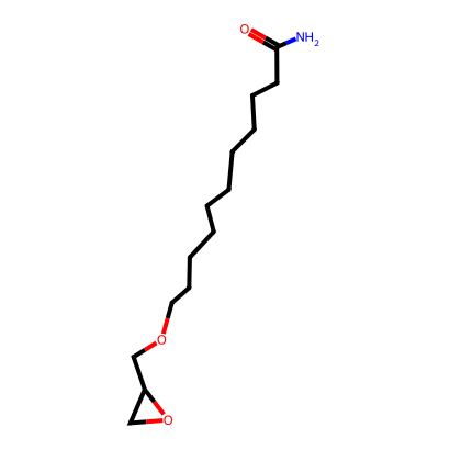 NC(=O)CCCCCCCCCCOCC1CO1